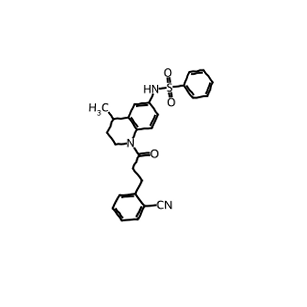 CC1CCN(C(=O)CCc2ccccc2C#N)c2ccc(NS(=O)(=O)c3ccccc3)cc21